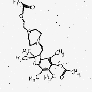 CC(=O)OCCN1CCN(CC2c3c(C)c(OC(C)=O)c(C)c(C)c3OC2(C)C)CC1